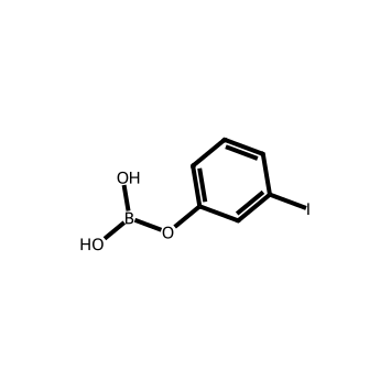 OB(O)Oc1cccc(I)c1